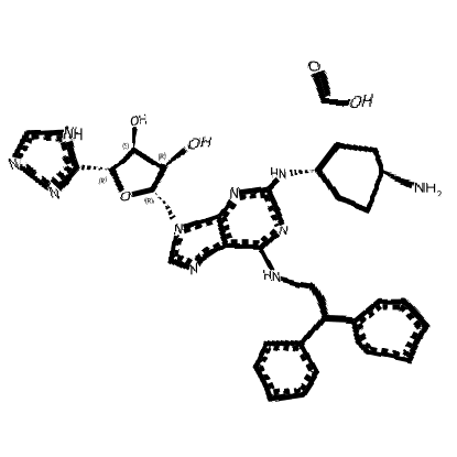 N[C@H]1CC[C@H](Nc2nc(NCC(c3ccccc3)c3ccccc3)c3ncn([C@@H]4O[C@H](c5nnc[nH]5)[C@@H](O)[C@H]4O)c3n2)CC1.O=CO